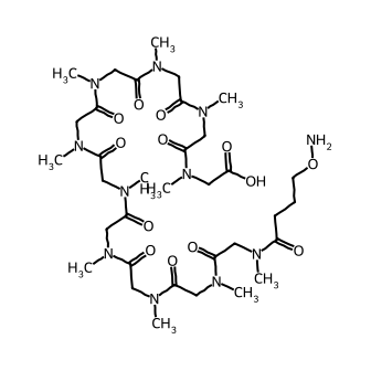 CN(CC(=O)O)C(=O)CN(C)C(=O)CN(C)C(=O)CN(C)C(=O)CN(C)C(=O)CN(C)C(=O)CN(C)C(=O)CN(C)C(=O)CN(C)C(=O)CN(C)C(=O)CCCON